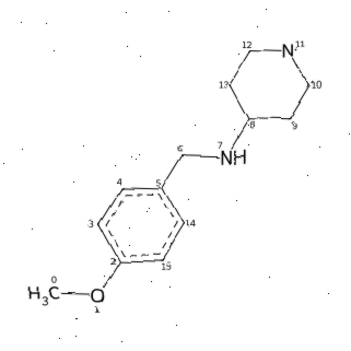 COc1ccc(CNC2CC[N]CC2)cc1